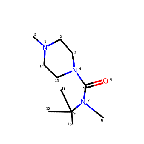 CN1CCN(C(=O)N(C)C(C)(C)C)CC1